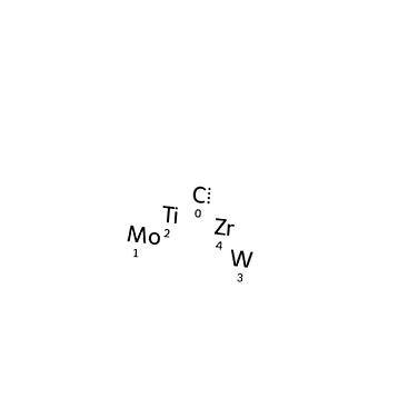 [C].[Mo].[Ti].[W].[Zr]